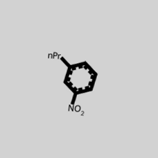 CCCc1[c]ccc([N+](=O)[O-])c1